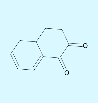 O=C1CCC2CC=CC=C2C1=O